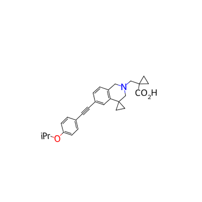 CC(C)Oc1ccc(C#Cc2ccc3c(c2)C2(CC2)CN(CC2(C(=O)O)CC2)C3)cc1